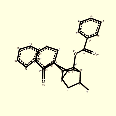 CC1CC2C(c3ccccc3)CC1C(OC(=O)c1ccccc1)C2OC(=O)c1ccccc1